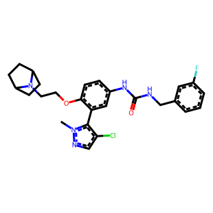 Cn1ncc(Cl)c1-c1cc(NC(=O)NCc2cccc(F)c2)ccc1OCCN1C2CCC1CC2